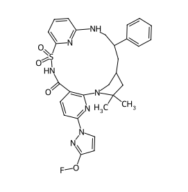 CC1(C)CC2CC(c3ccccc3)CNc3cccc(n3)S(=O)(=O)NC(=O)c3ccc(-n4ccc(OF)n4)nc3N1C2